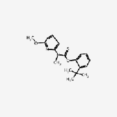 COc1cccc(N(C)C(=S)Oc2ccccc2C(C)(C)C)n1